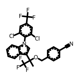 CC(OCc1ccc(C#N)cc1)(c1cn(-c2c(Cl)cc(C(F)(F)F)cc2Cl)c2ccccc12)C(F)(F)F